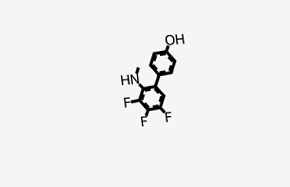 CNc1c(-c2ccc(O)cc2)cc(F)c(F)c1F